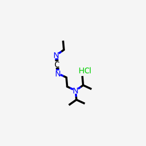 CCN=C=NCCN(C(C)C)C(C)C.Cl